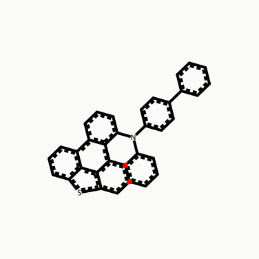 c1ccc(-c2ccc(N(c3ccccc3)c3cccc4c5cccc6sc7cccc(c34)c7c65)cc2)cc1